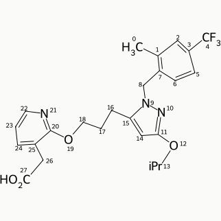 Cc1cc(C(F)(F)F)ccc1Cn1nc(OC(C)C)cc1CCCOc1ncccc1CC(=O)O